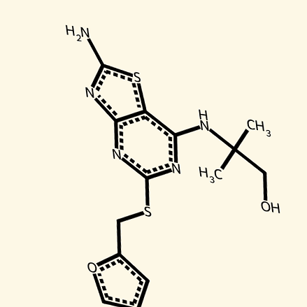 CC(C)(CO)Nc1nc(SCc2ccco2)nc2nc(N)sc12